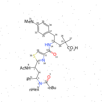 CCCCCCN(C(=O)CCCC)C(CC(NC(C)=O)c1nc(C(=O)NC(Cc2ccc(NC)cc2)CC(C)(C)C(=O)O)cs1)C(C)C